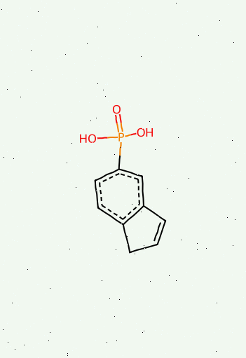 O=P(O)(O)c1ccc2c(c1)C=CC2